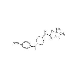 CC(C)(C)OC(=O)N[C@H]1CC[C@H](Nc2ccc(C#N)cc2)CC1